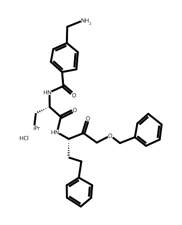 CC(C)C[C@H](NC(=O)c1ccc(CN)cc1)C(=O)N[C@@H](CCc1ccccc1)C(=O)COCc1ccccc1.Cl